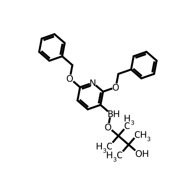 CC(C)(O)C(C)(C)OBc1ccc(OCc2ccccc2)nc1OCc1ccccc1